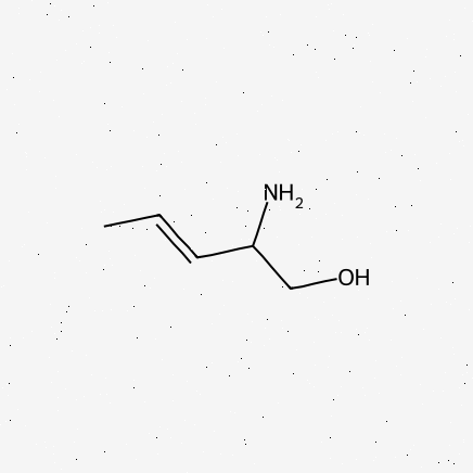 C/C=C/C(N)CO